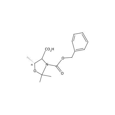 C[C@H]1OC(C)(C)N(C(=O)OCc2ccccc2)C1C(=O)O